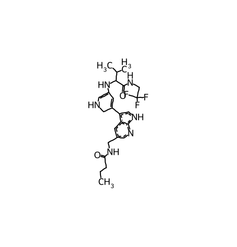 CCCC(=O)NCc1cnc2[nH]cc(C3=CC(NC(C(=O)NCC(F)(F)F)C(C)C)=CNC3)c2c1